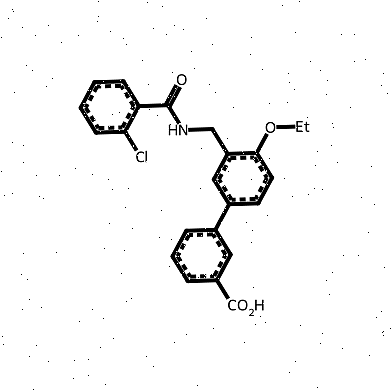 CCOc1ccc(-c2cccc(C(=O)O)c2)cc1CNC(=O)c1ccccc1Cl